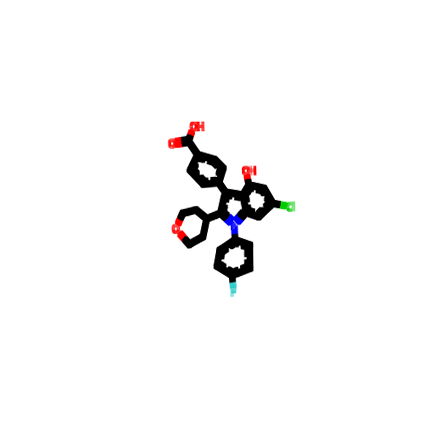 O=C(O)c1ccc(-c2c(C3CCOCC3)n(-c3ccc(F)cc3)c3cc(Cl)cc(O)c23)cc1